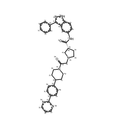 O=C(Nc1ccc2[nH]nc(-c3ccccc3)c2c1)[C@@H]1CCN(CC(=O)N2CCC(c3ccc(-c4ncccn4)cc3)CC2)C1